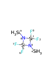 F[Si]1(F)N([SiH3])[Si](F)(F)N1[SiH3]